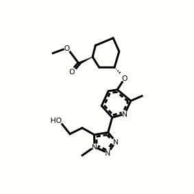 COC(=O)[C@H]1CCC[C@H](Oc2ccc(-c3nnn(C)c3CCO)nc2C)C1